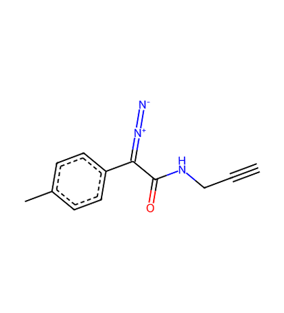 C#CCNC(=O)C(=[N+]=[N-])c1ccc(C)cc1